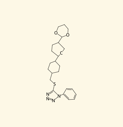 c1ccc(-n2nnnc2SCC2CCC(C3CCC(C4OCCCO4)CC3)CC2)cc1